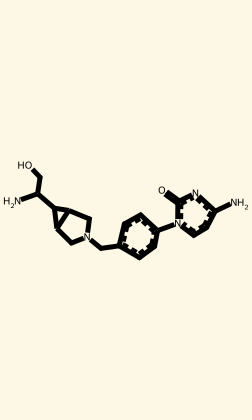 Nc1ccn(-c2ccc(CN3CC4C(C3)C4C(N)CO)cc2)c(=O)n1